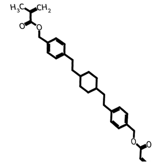 C=CC(=O)OCc1ccc(CCC2CCC(CCc3ccc(COC(=O)C(=C)C)cc3)CC2)cc1